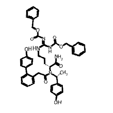 C[C@H](c1ccc(O)cc1)N(C(=O)Cc1ccccc1-c1ccc(O)cc1)[C@H](CCCNC(=NC(=O)OCc1ccccc1)NC(=O)OCc1ccccc1)C(N)=O